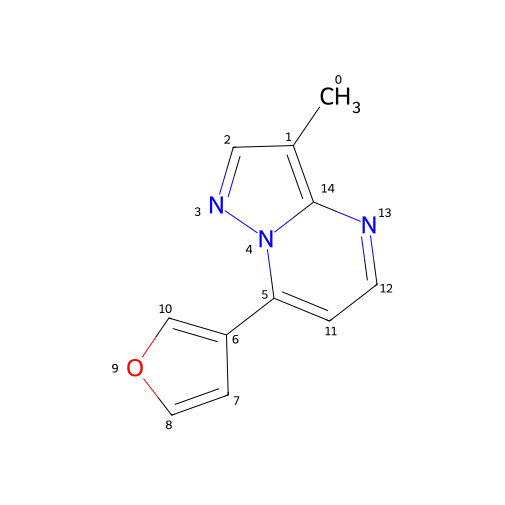 Cc1cnn2c(-c3ccoc3)ccnc12